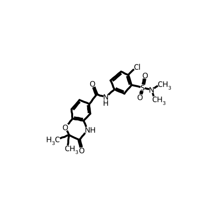 CN(C)S(=O)(=O)c1cc(NC(=O)c2ccc3c(c2)NC(=O)C(C)(C)O3)ccc1Cl